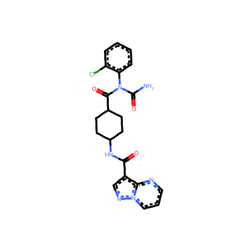 NC(=O)N(C(=O)C1CCC(NC(=O)c2cnn3cccnc23)CC1)c1ccccc1Cl